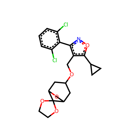 Clc1cccc(Cl)c1-c1noc(C2CC2)c1COC1CC2COC(C1)C21OCCO1